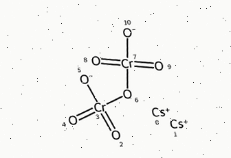 [Cs+].[Cs+].[O]=[Cr](=[O])([O-])[O][Cr](=[O])(=[O])[O-]